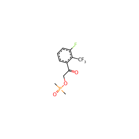 CP(C)(=O)OCC(=O)c1cccc(F)c1C(F)(F)F